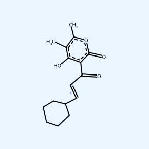 Cc1oc(=O)c(C(=O)/C=C/C2CCCCC2)c(O)c1C